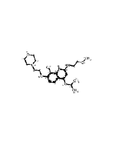 COCCNc1cc(OC(C)C)c2ccc(OCCN3CCOCC3)c(Cl)c2n1